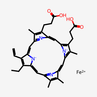 C=Cc1c(CC)c2cc3nc(cc4[n-]c(cc5nc(cc1[n-]2)C(C)=C5CCC(=O)O)c(CCC(=O)O)c4C)C(C)=C3C.[Fe+2]